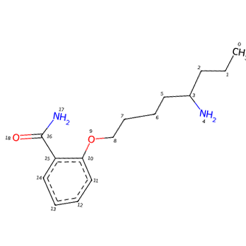 CCCC(N)CCCCOc1ccccc1C(N)=O